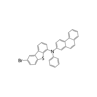 Brc1ccc2sc3c(N(c4ccccc4)c4ccc5c(ccc6ccccc65)c4)cccc3c2c1